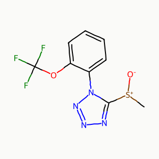 C[S+]([O-])c1nnnn1-c1ccccc1OC(F)(F)F